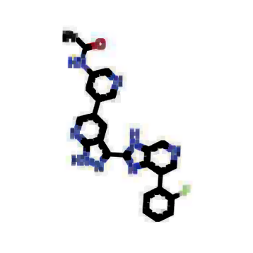 CC(C)C(=O)Nc1cncc(-c2cnc3[nH]nc(-c4nc5c(-c6ccccc6F)cncc5[nH]4)c3c2)c1